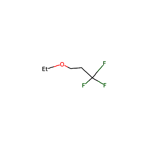 [CH2]COCCC(F)(F)F